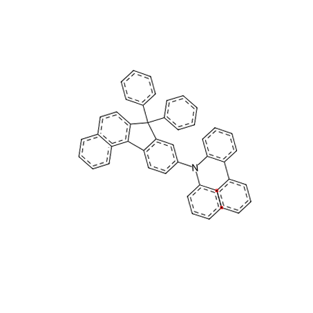 c1ccc(-c2ccccc2N(c2ccccc2)c2ccc3c(c2)C(c2ccccc2)(c2ccccc2)c2ccc4ccccc4c2-3)cc1